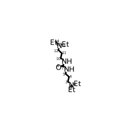 CCN(CC)CCCNC(=O)NCCCN(CC)CC